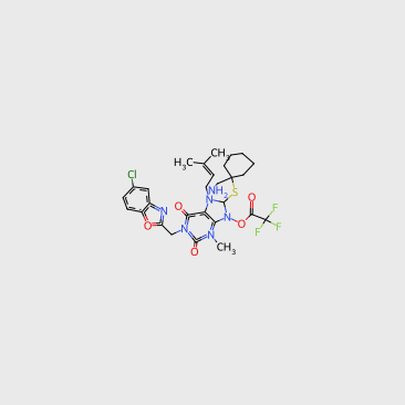 CC(C)=CCN1c2c(n(C)c(=O)n(Cc3nc4cc(Cl)ccc4o3)c2=O)N(OC(=O)C(F)(F)F)C1SC1(CN)CCCCC1